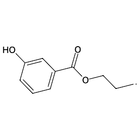 [CH2]CCOC(=O)c1cccc(O)c1